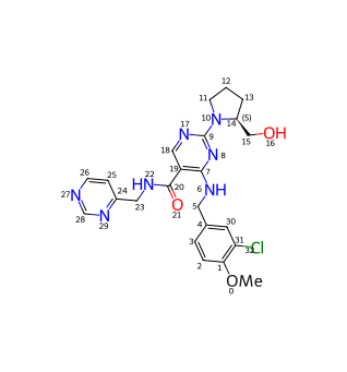 COc1ccc(CNc2nc(N3CCC[C@H]3CO)ncc2C(=O)NCc2ccncn2)cc1Cl